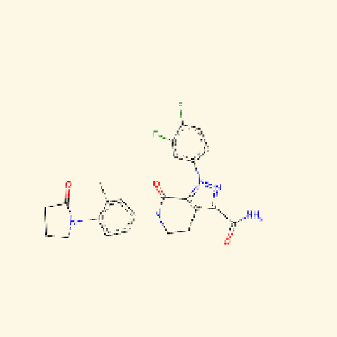 Cc1cc(N2CCc3c(C(N)=O)nn(-c4ccc(F)c(F)c4)c3C2=O)ccc1N1CCCC1=O